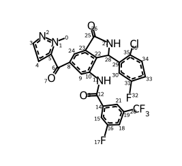 Cn1nccc1C(=O)c1cc(NC(=O)c2cc(F)cc(C(F)(F)F)c2)c2c(c1)C(=O)NC2c1cc(F)ccc1Cl